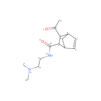 CC(=O)C1C2C=CC(C2)C1C(=O)NCCN(C)C